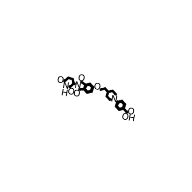 O=C1CCC(N2C(=O)c3ccc(OCCC4CCN(c5ccc(C(=O)O)cc5)CC4)cc3C2=O)C(=O)N1